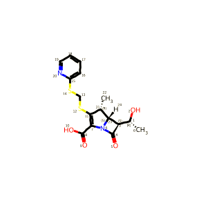 C[C@@H](O)[C@H]1C(=O)N2C(C(=O)O)=C(SCSc3ccccn3)[C@H](C)[C@H]12